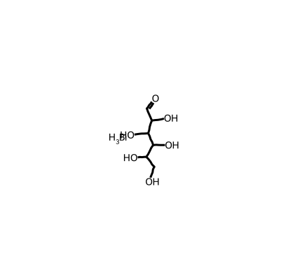 O=CC(O)C(O)C(O)C(O)CO.[BiH3]